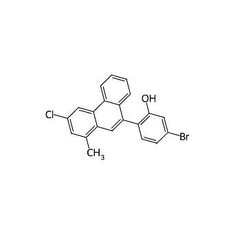 Cc1cc(Cl)cc2c1cc(-c1ccc(Br)cc1O)c1ccccc12